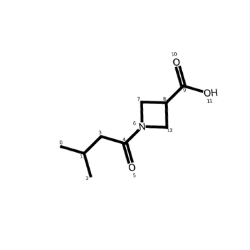 CC(C)CC(=O)N1CC(C(=O)O)C1